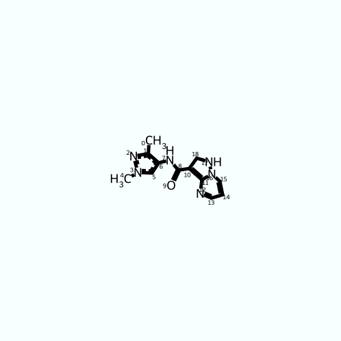 Cc1nn(C)cc1NC(=O)C1=C2N=CC=CN2NC1